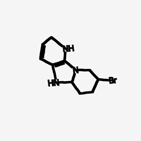 BrC1CCC2NC3=C(NCC=C3)N2C1